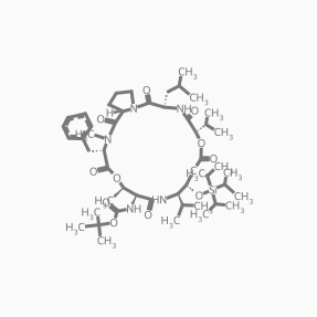 CC(C)C[C@@H]1NC(=O)[C@H](C(C)C)OC(=O)C[C@H](O[Si](C(C)C)(C(C)C)C(C)C)[C@@H](C(C)C)NC(=O)[C@@H](NC(=O)OC(C)(C)C)[C@@H](C)OC(=O)[C@H](Cc2ccccc2)N(C)C(=O)[C@@H]2CCCN2C1=O